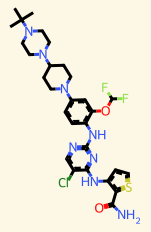 CC(C)(C)N1CCN(C2CCN(c3ccc(Nc4ncc(Cl)c(Nc5ccsc5C(N)=O)n4)c(OC(F)F)c3)CC2)CC1